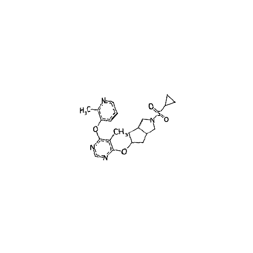 Cc1ncccc1Oc1ncnc(OC2CC3CN(S(=O)(=O)C4CC4)CC3C2)c1C